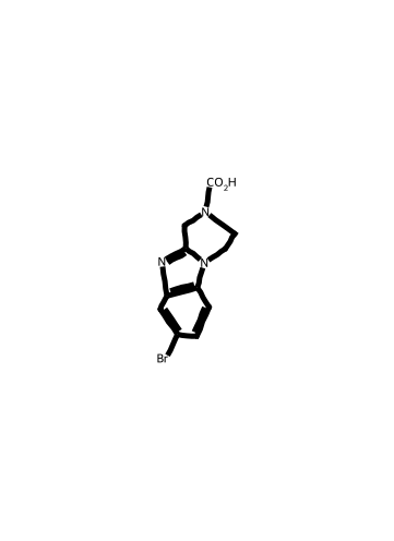 O=C(O)N1CCn2c(nc3cc(Br)ccc32)C1